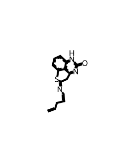 C=CC/C=C\N=C1/Cc2nc(=O)[nH]c3cccc(c23)S1